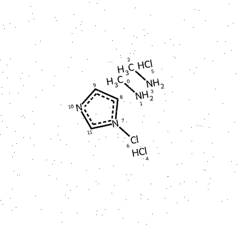 CN.CN.Cl.Cl.Cln1ccnc1